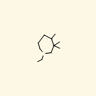 OC1CCCN(CP)CC1(F)F